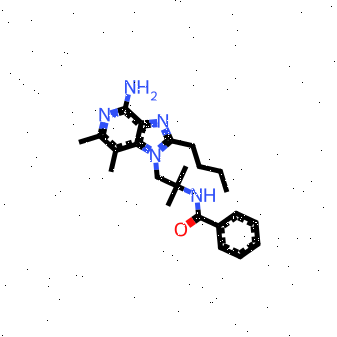 CCCCc1nc2c(N)nc(C)c(C)c2n1CC(C)(C)NC(=O)c1ccccc1